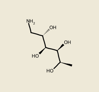 C[C@@H](O)[C@H](O)[C@@H](O)[C@@H](O)CN